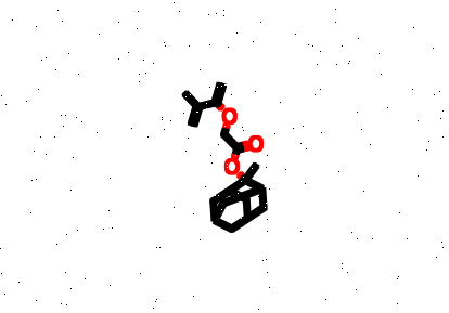 C=C(C)C(=C)OCC(=O)OC1(C)C2CC3CC(C2)CC1C3